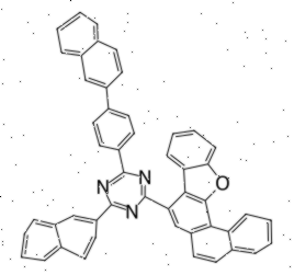 c1ccc2cc(-c3ccc(-c4nc(-c5ccc6ccccc6c5)nc(-c5cc6ccc7ccccc7c6c6oc7ccccc7c56)n4)cc3)ccc2c1